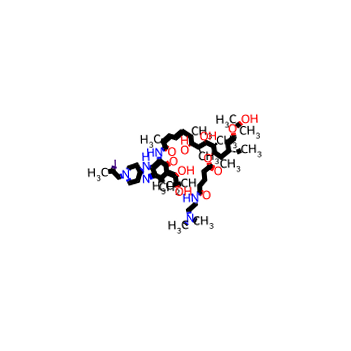 C=C1C2=NC3(CCN(CC(C)I)CC3)NC2=C(NC(=O)/C(C)=C\C=C\[C@H](C)[C@H](O)[C@@H](C)[C@@H](O)[C@@H](C)[C@H](OC(=O)CCCC(=O)NCCN(C)C)[C@H](C)[C@H](/C=C/OC(C)(C)O)CC)C(=O)/C1=C(\O)C(C)(C)O